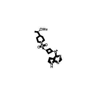 CO[C@@H](C)C1CCN(S(=O)(=O)C[C@H]2C[C@@H](N(C)c3ncnc4[nH]ccc34)C2)CC1